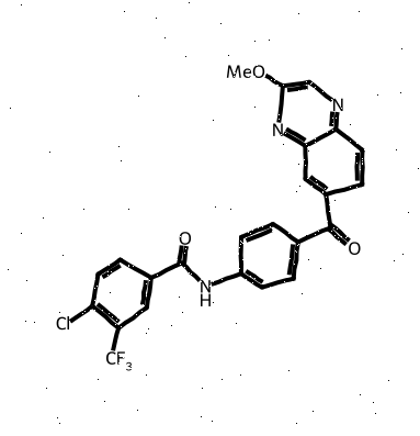 COc1cnc2ccc(C(=O)c3ccc(NC(=O)c4ccc(Cl)c(C(F)(F)F)c4)cc3)cc2n1